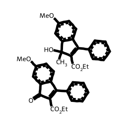 CCOC(=O)C1=C(c2ccccc2)c2ccc(OC)cc2C1(C)O.CCOC(=O)C1=C(c2ccccc2)c2ccc(OC)cc2C1=O